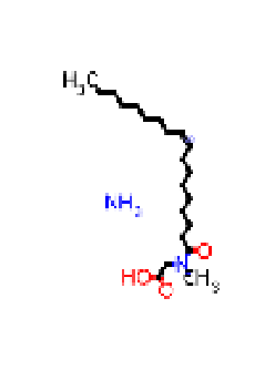 CCCCCCCC/C=C\CCCCCCCC(=O)N(C)CC(=O)O.N